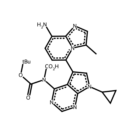 Cc1cnc2c(N)ccc(-c3cn(C4CC4)c4ncnc(N(C(=O)O)C(=O)OC(C)(C)C)c34)n12